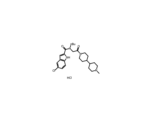 CCCCN(CC(=O)N1CCC(C2CCN(C)CC2)CC1)C(=O)c1cc2cc(Cl)ccc2[nH]1.Cl